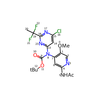 COc1cnc(NC(C)=O)cc1N(C(=O)OC(C)(C)C)c1cc(Cl)nc(C(C)(F)F)n1